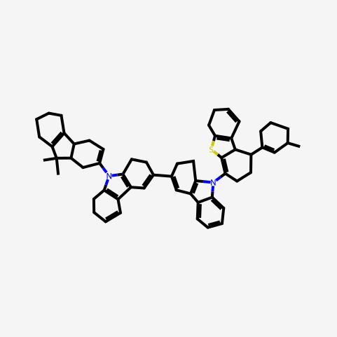 CC1C=C(C2CCC(n3c4c(c5ccccc53)C=C(C3=Cc5c6c(n(C7=CCC8C9=C(CCCC9)C(C)(C)C8C7)c5CC3)CCC=C6)CC4)=C3SC4=C(C=CCC4)C32)CCC1